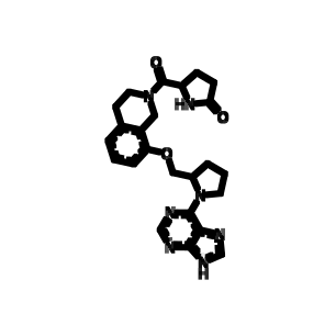 O=C1CCC(C(=O)N2CCc3cccc(OCC4CCCN4c4ncnc5[nH]cnc45)c3C2)N1